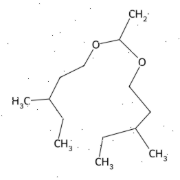 [CH2]C(OCCC(C)CC)OCCC(C)CC